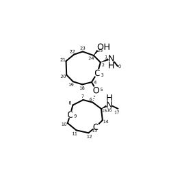 CN[C@H]1CC(O[C@H]2CCCCCCCC[C@@H]2NC)CCCCCC[C@H]1O